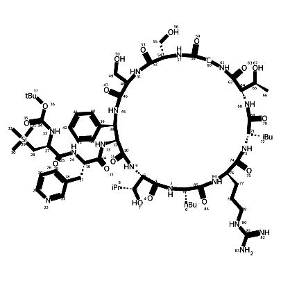 CCCC[C@@H]1NC(=O)[C@H]([C@H](O)C(C)C)NC(=O)[C@@H](NC(=O)[C@H](Cc2cccnc2)NC(=O)[C@@H](C[Si](C)(C)C)NC(=O)OC(C)(C)C)[C@@H](c2ccccc2)NC(=O)C(CO)NC(=O)[C@H](CO)NC(=O)CNC(=O)[C@H]([C@H](C)O)NC(=O)[C@H]([C@@H](C)CC)NC(=O)[C@@H](CCCNC(=N)N)NC1=O